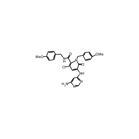 COc1ccc(CNC(=O)c2c(Cl)cc(Nc3cc(N)ncn3)c(=O)n2Cc2ccc(OC)cc2)cc1